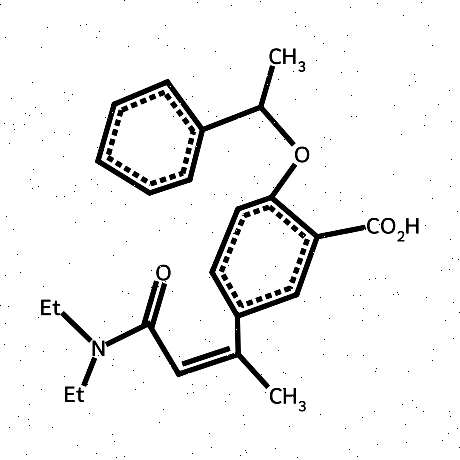 CCN(CC)C(=O)/C=C(/C)c1ccc(OC(C)c2ccccc2)c(C(=O)O)c1